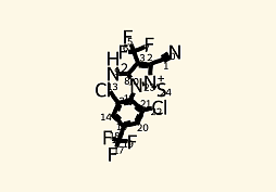 N#CC1=C(C(F)(F)F)C(N)N(c2c(Cl)cc(C(F)(F)F)cc2Cl)[N+]1=S